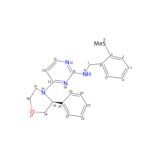 CSc1ccccc1CNc1nccc(N2CCOC[C@@H]2c2ccccc2)n1